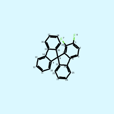 Fc1ccc2c(c1F)C1(c3ccccc3-c3ccccc31)c1ccccc1-2